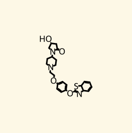 O=C1C[C@@H](O)CN1C1CCN(CCOc2ccc(OC3=NC4C=CC=CC4S3)cc2)CC1